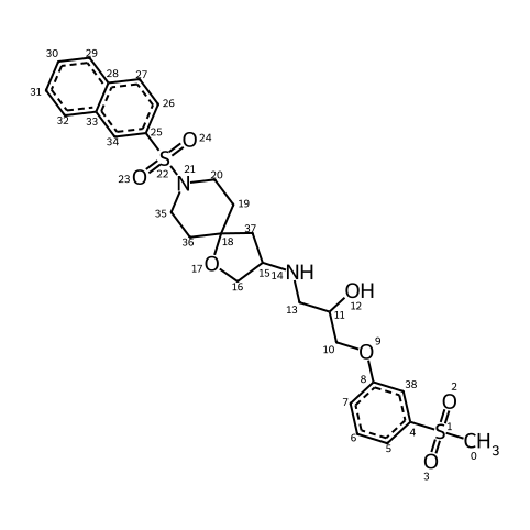 CS(=O)(=O)c1cccc(OCC(O)CNC2COC3(CCN(S(=O)(=O)c4ccc5ccccc5c4)CC3)C2)c1